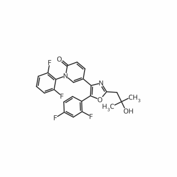 CC(C)(O)Cc1nc(-c2ccc(=O)n(-c3c(F)cccc3F)c2)c(-c2ccc(F)cc2F)o1